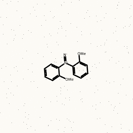 COc1c[c]ccc1[N+](=[N-])c1cc[c]cc1OC